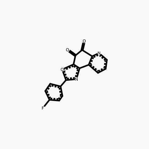 O=C1C(=O)c2oc(-c3ccc(F)cc3)nc2-c2cccnc21